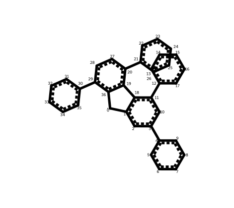 [CH]1c2cc(-c3ccccc3)cc(-c3ccccc3)c2-c2c(-c3ccccc3)ccc(-c3ccccc3)c21